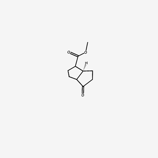 COC(=O)C1CCC2C(=O)CC[C@@H]21